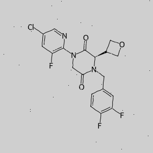 O=C1[C@@H](C2COC2)N(Cc2ccc(F)c(F)c2)C(=O)CN1c1ncc(Cl)cc1F